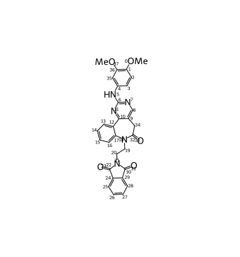 COc1ccc(Nc2ncc3c(n2)-c2ccccc2N(CCN2C(=O)c4ccccc4C2=O)C(=O)C3)cc1OC